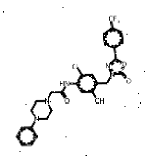 O=C(CN1CCN(c2ccccc2)CC1)Nc1cc(O)c(Cn2nc(-c3ccc(C(F)(F)F)cc3)oc2=O)cc1Cl